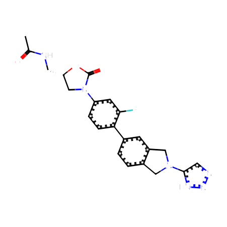 CC(=O)NC[C@H]1CN(c2ccc(-c3ccc4c(c3)CN(c3cnn[nH]3)C4)c(F)c2)C(=O)O1